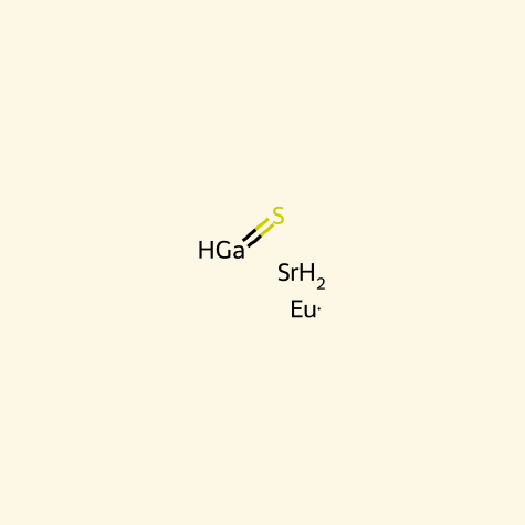 [Eu].[S]=[GaH].[SrH2]